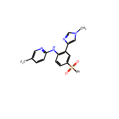 CC(C)S(=O)(=O)c1ccc(Nc2ccc(C(F)(F)F)cn2)c(-c2cn(C)cn2)c1